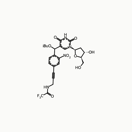 CC(C)COC(c1ccc(C#CCNC(=O)C(F)(F)F)cc1[N+](=O)[O-])c1cn([C@H]2C[C@H](O)[C@@H](CO)O2)c(=O)[nH]c1=O